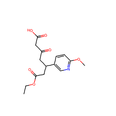 CCOC(=O)CC(CC(=O)CC(=O)O)c1ccc(OC)nc1